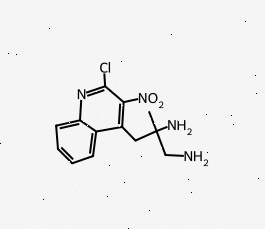 CC(N)(CN)Cc1c([N+](=O)[O-])c(Cl)nc2ccccc12